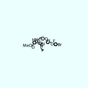 COC(=O)c1ccc(NC(=O)CN2CCC(Oc3cccc(COc4ccc(Br)cc4F)n3)CC2)c(NCc2cncn2CC2CC2)c1